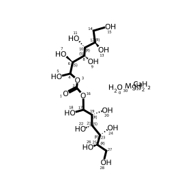 O.O=C(OC(O)[C@@H](O)[C@@H](O)[C@H](O)[C@H](O)CO)OC(O)[C@H](O)[C@@H](O)[C@H](O)[C@H](O)CO.[CaH2].[MgH2]